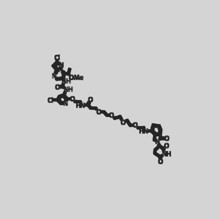 COC(C)c1c(NC(=O)Nc2cc(Cl)cnc2OCCNC(=O)CCOCCOCCOCCOCCNc2cccc3c2CN(C2CCC(=O)NC2=O)C3=O)cnc2cc(Cl)nn12